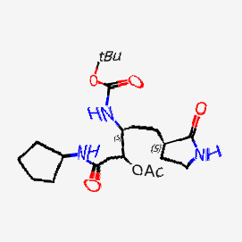 CC(=O)OC(C(=O)NC1CCCC1)[C@H](C[C@@H]1CCNC1=O)NC(=O)OC(C)(C)C